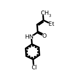 CC/C(C)=C\C(=O)Nc1ccc(Cl)cc1